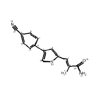 C/C(=C\c1cc(-c2ccc(C#N)cc2)cs1)C(N)=O